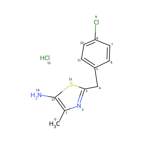 Cc1nc(Cc2ccc(Cl)cc2)sc1N.Cl